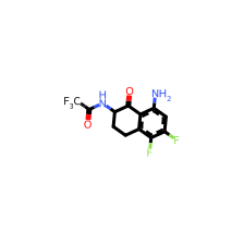 Nc1cc(F)c(F)c2c1C(=O)C(NC(=O)C(F)(F)F)CC2